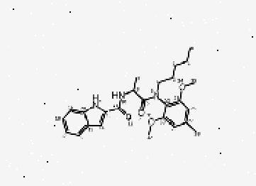 CCCCCN(C(=O)C(C)NC(=O)c1cc2ccccc2[nH]1)c1c(OC)cc(C)cc1OC